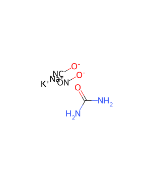 N#C[O-].NC(N)=O.O=N[O-].[K+].[Na+]